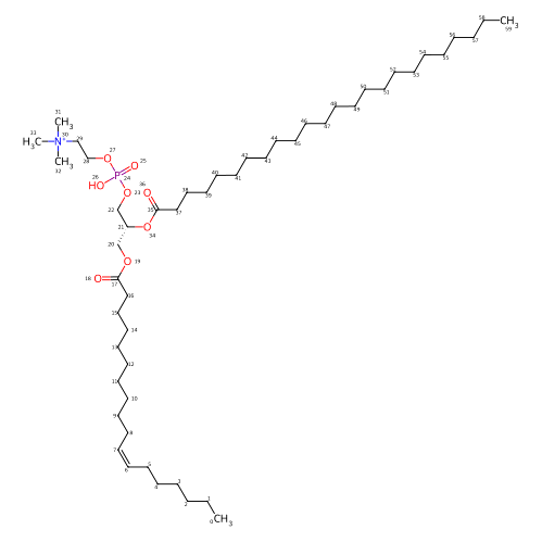 CCCCCC/C=C\CCCCCCCCCC(=O)OC[C@H](COP(=O)(O)OCC[N+](C)(C)C)OC(=O)CCCCCCCCCCCCCCCCCCCCCCC